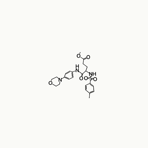 COC(=O)CCC(NS(=O)(=O)c1ccc(C)cc1)C(=O)Nc1ccc(N2CCOCC2)cc1